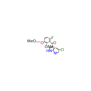 COCCOc1ccc(F)c(C(=O)c2c[nH]c3ncc(Cl)cc23)c1OC